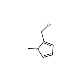 Cn1cccc1CBr